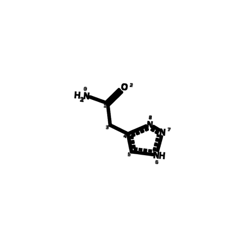 NC(=O)Cc1c[nH]nn1